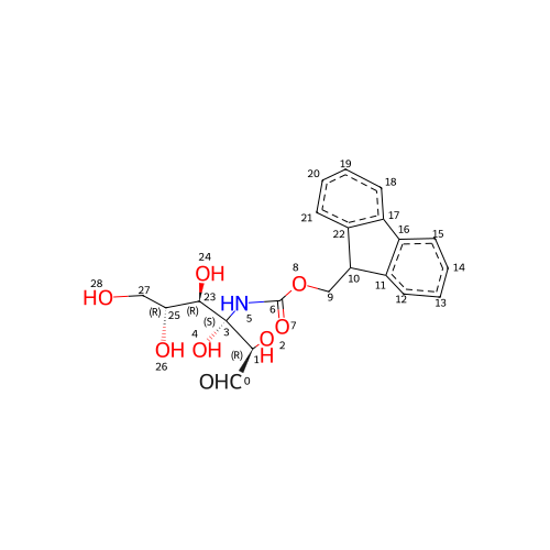 O=C[C@H](O)[C@](O)(NC(=O)OCC1c2ccccc2-c2ccccc21)[C@H](O)[C@H](O)CO